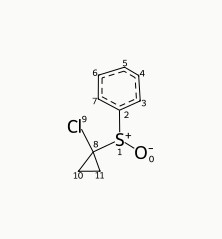 [O-][S+](c1ccccc1)C1(Cl)CC1